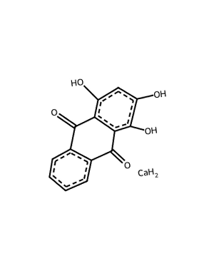 O=C1c2ccccc2C(=O)c2c(O)c(O)cc(O)c21.[CaH2]